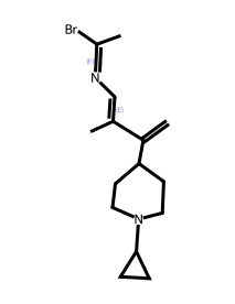 C=C(/C(C)=C/N=C(\C)Br)C1CCN(C2CC2)CC1